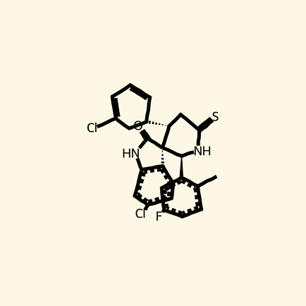 Cc1ccc(F)cc1[C@@H]1NC(=S)C[C@@H](C2C=CC=C(Cl)C2)[C@]12C(=O)Nc1cc(Cl)ccc12